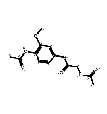 COc1cc(NC(=O)COC(C)=O)ccc1OC(C)=O